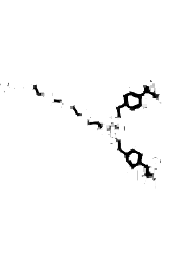 COCCOCCOCCOCCOP(=O)(OCCc1ccc(C(=O)C(F)(F)C(F)(F)F)cc1)OCCc1ccc(C(=O)C(F)(F)C(F)(F)F)cc1